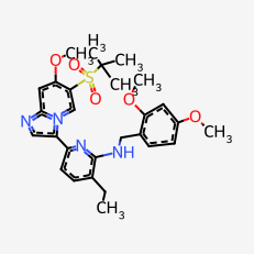 CCc1ccc(-c2cnc3cc(OC)c(S(=O)(=O)C(C)(C)C)cn23)nc1NCc1ccc(OC)cc1OC